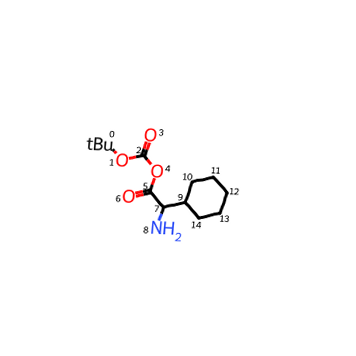 CC(C)(C)OC(=O)OC(=O)C(N)C1CCCCC1